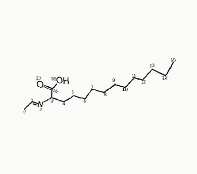 CC=NC(CCCCCCCCCCCC)C(=O)O